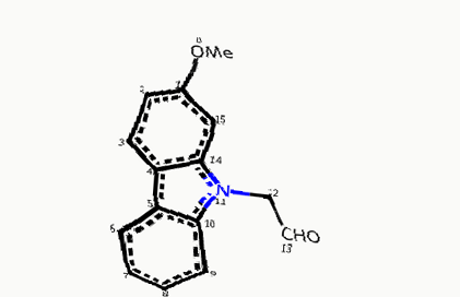 COc1ccc2c3ccccc3n(CC=O)c2c1